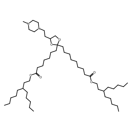 CCCCCC(CCCCC)CCOC(=O)CCCCCCCCC1(CCCCCCC(=O)OCCC(CCCCC)CCCCC)OCC(CCN2CCN(C)CC2)O1